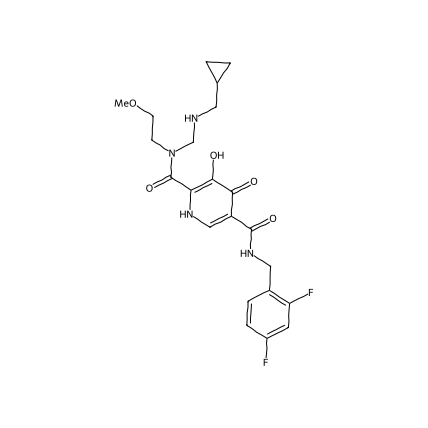 COCCN(CNCC1CC1)C(=O)c1[nH]cc(C(=O)NCc2ccc(F)cc2F)c(=O)c1O